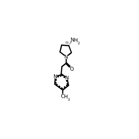 Cc1cnc(CC(=O)N2CC[C@H](N)C2)nc1